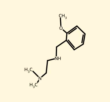 COc1ccccc1CNCCN(C)C